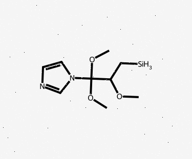 COC(C[SiH3])C(OC)(OC)n1ccnc1